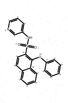 O=S(=O)(Nc1cccnc1)c1ccc2ccccc2c1Oc1ccccc1